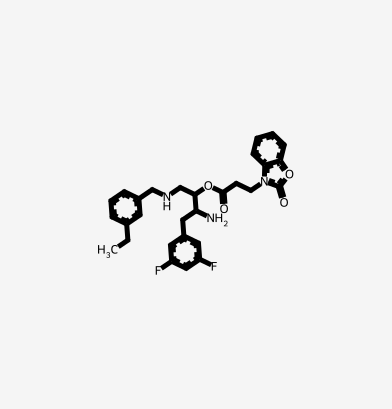 CCc1cccc(CNCC(OC(=O)CCn2c(=O)oc3ccccc32)C(N)Cc2cc(F)cc(F)c2)c1